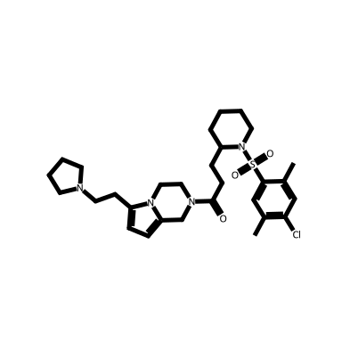 Cc1cc(S(=O)(=O)N2CCCCC2CCC(=O)N2CCn3c(CCN4CCCC4)ccc3C2)c(C)cc1Cl